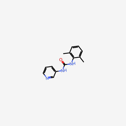 Cc1cccc(C)c1NC(=O)Nc1cccnc1